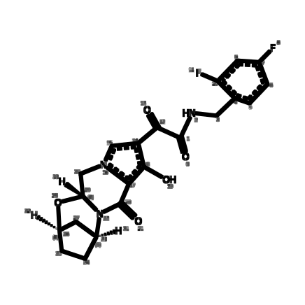 O=C(NCc1ccc(F)cc1F)C(=O)c1cn2c(c1O)C(=O)N1[C@H]3CC[C@H](C3)O[C@@H]1C2